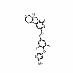 CCCn1cc(Oc2c(F)cc(COc3cc4n(c(=O)n3)C[C@H]3COCCN43)cc2F)cn1